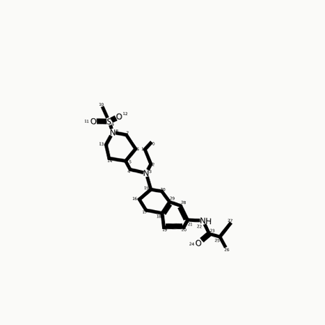 CCCN(CC1CCN(S(C)(=O)=O)CC1)C1CCc2ccc(NC(=O)C(C)C)cc2C1